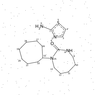 Nc1nccs1.O=C1NCCCCCN1C1CCCCCCC1